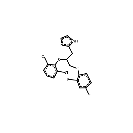 Fc1ccc(OCC(Cc2ncc[nH]2)Sc2c(Cl)cccc2Cl)c(F)c1